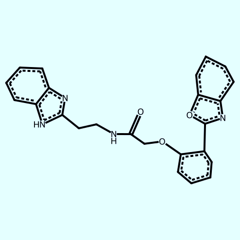 O=C(COc1ccccc1-c1nc2ccccc2o1)NCCc1nc2ccccc2[nH]1